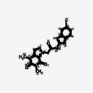 Cn1c(=O)c2c(cnn2CC(=O)Nc2nc3ccc(F)cc3s2)n(C)c1=O